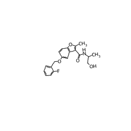 Cc1oc2ccc(OCc3ccccc3F)cc2c1C(=O)NC(C)CO